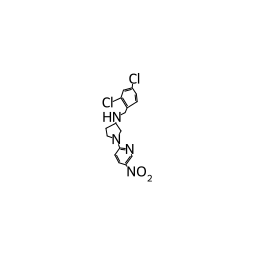 O=[N+]([O-])c1ccc(N2CCC(NCc3ccc(Cl)cc3Cl)C2)nc1